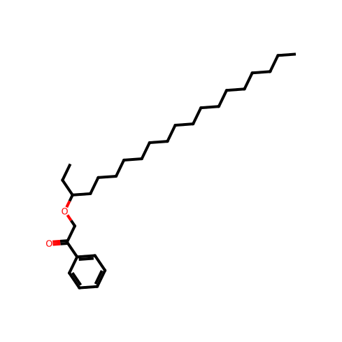 CCCCCCCCCCCCCCCCCC(CC)OCC(=O)c1ccccc1